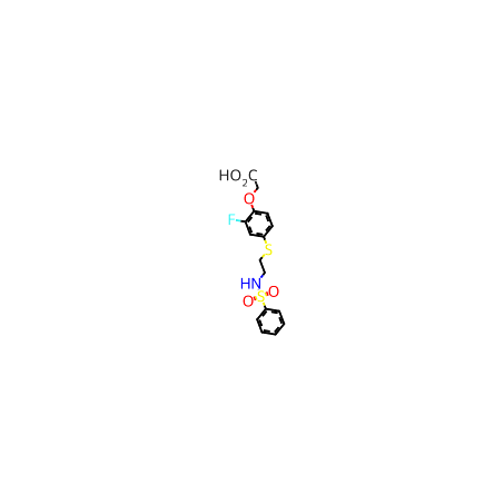 O=C(O)COc1ccc(SCCNS(=O)(=O)c2ccccc2)cc1F